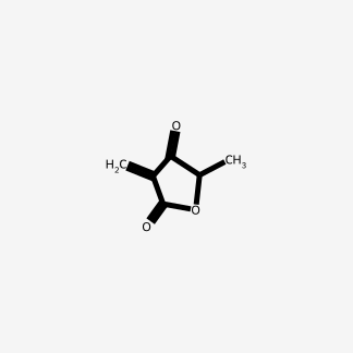 C=C1C(=O)OC(C)C1=O